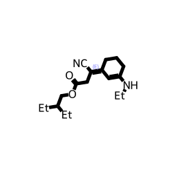 CCNC1=C/C(=C(/C#N)CC(=O)OCC(CC)CC)CCC1